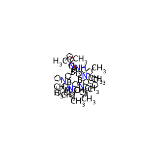 Cc1cc(C)c(N2c3cc4c(cc3B3c5ccccc5N(c5ccccc5)c5cc(-c6c(C)cccc6C)cc2c53)B2c3cc5c(cc3N(c3c(C)cc(C)cc3C)c3cc(-c6c(C)cccc6C)cc(c32)N4c2c(C)cc(C)cc2C)Nc2cc(-c3c(C)cccc3C)cc3c2B5c2ccccc2N3c2ccccc2)c(C)c1